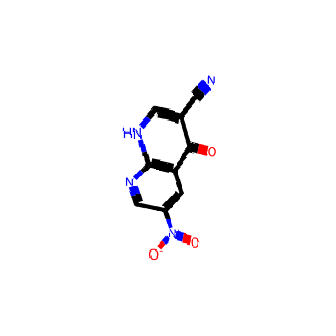 N#Cc1c[nH]c2ncc([N+](=O)[O-])cc2c1=O